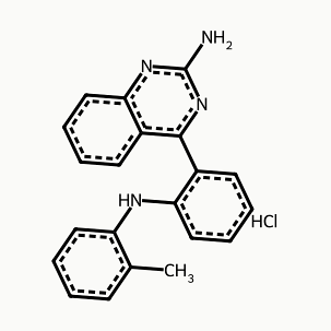 Cc1ccccc1Nc1ccccc1-c1nc(N)nc2ccccc12.Cl